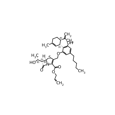 C=CCOC(=O)C1=C(COc2cc(CCCCC)cc(O)c2[C@@H]2C=C(C)CC[C@H]2C(=C)C)S[C@@H]2[C@@H]([C@@H](C)O)C(=O)N12